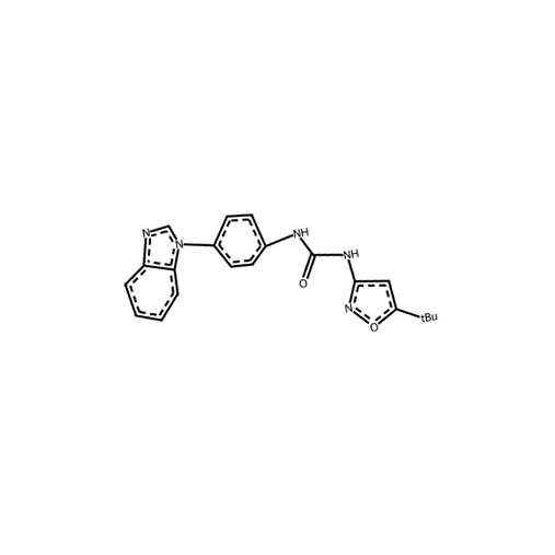 CC(C)(C)c1cc(NC(=O)Nc2ccc(-n3cnc4ccccc43)cc2)no1